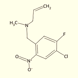 C=CCN(C)Cc1cc(F)c(Cl)cc1[N+](=O)[O-]